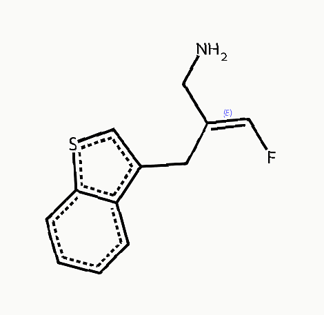 NC/C(=C/F)Cc1csc2ccccc12